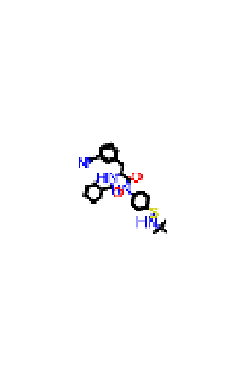 CC(C)(C)NSc1ccc(NC(=O)[C@H](Cc2cccc(C#N)c2)NC(=O)C2CCCCC2)cc1